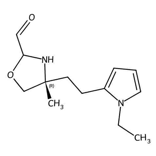 CCn1cccc1CC[C@]1(C)COC(C=O)N1